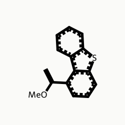 C=C(OC)c1cccc2sc3ccccc3c12